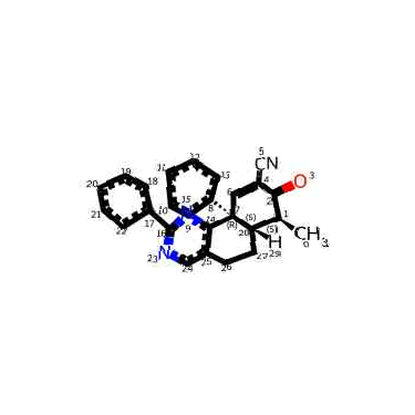 C[C@@H]1C(=O)C(C#N)=C[C@]2(c3ccccc3)c3nc(-c4ccccc4)ncc3CC[C@@H]12